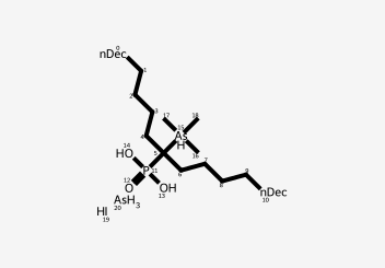 CCCCCCCCCCCCCCC(CCCCCCCCCCCCCC)(P(=O)(O)O)[AsH](C)(C)C.I.[AsH3]